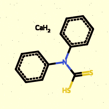 S=C(S)N(c1ccccc1)c1ccccc1.[CaH2]